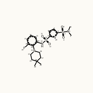 CN(C)S(=O)(=O)c1ccc(S(=O)(=O)Nc2cccc(F)c2N2CCC(C)(C)CC2)s1